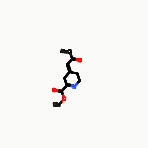 COC(=O)C=C1CCN=C(C(=O)OC(C)(C)C)C1